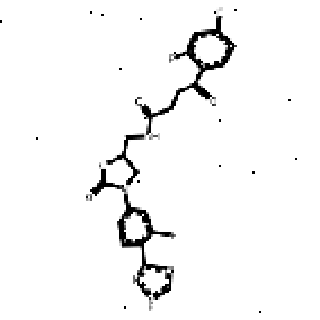 O=C(CCC(=O)c1ccc(F)cc1F)NCC1CN(c2ccc(-c3nc[nH]n3)c(F)c2)C(=O)O1